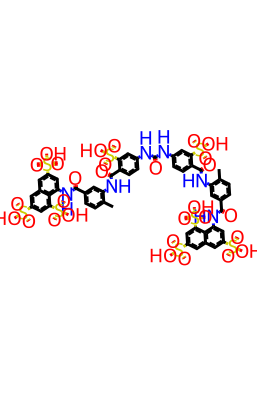 Cc1ccc(C(=O)Nc2cc(S(=O)(=O)O)cc3cc(S(=O)(=O)O)cc(S(=O)(=O)O)c23)cc1NC(=O)c1ccc(NC(=O)Nc2ccc(C(=O)Nc3cc(C(=O)Nc4cc(S(=O)(=O)O)cc5cc(S(=O)(=O)O)cc(S(=O)(=O)O)c45)ccc3C)c(S(=O)(=O)O)c2)cc1S(=O)(=O)O